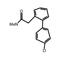 CNC(=O)Cc1ccccc1-c1ccc(Cl)cc1